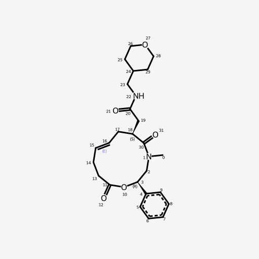 CN1C[C@@H](c2ccccc2)OC(=O)CC/C=C/C[C@@H](CC(=O)NCC2CCOCC2)C1=O